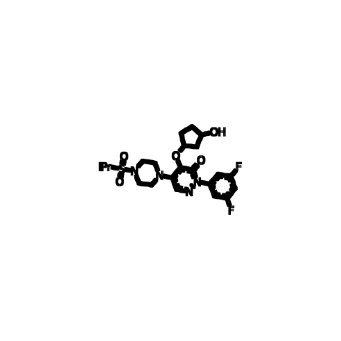 CC(C)S(=O)(=O)N1CCN(c2cnn(-c3cc(F)cc(F)c3)c(=O)c2OC2CCC(O)C2)CC1